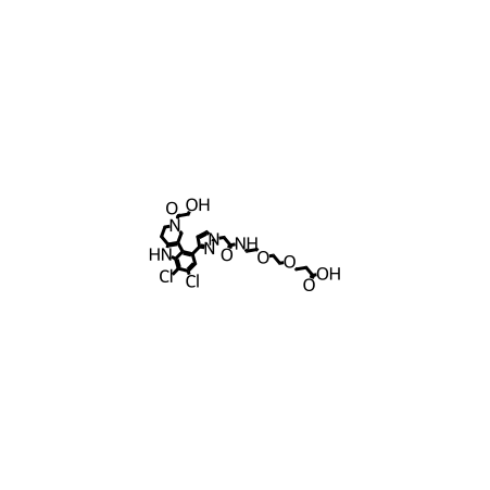 O=C(O)CCOCCOCCNC(=O)Cn1ccc(-c2cc(Cl)c(Cl)c3[nH]c4c(c23)CN(C(=O)CO)CC4)n1